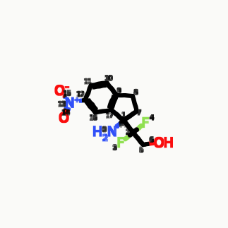 N[C@]1(C(F)(F)CO)CCc2ccc([N+](=O)[O-])cc21